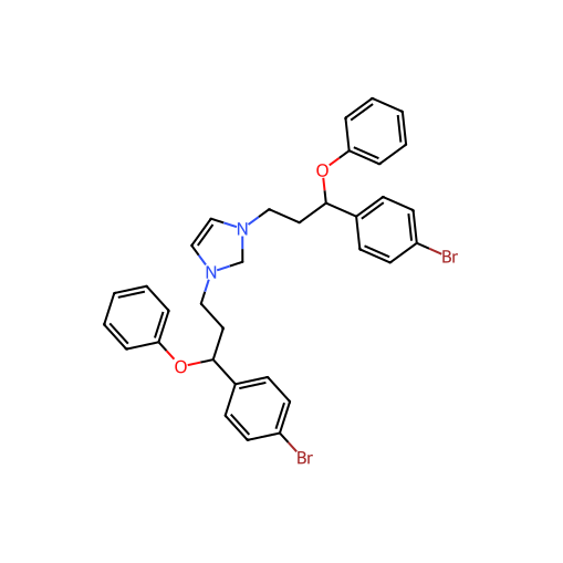 Brc1ccc(C(CCN2C=CN(CCC(Oc3ccccc3)c3ccc(Br)cc3)C2)Oc2ccccc2)cc1